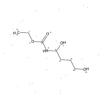 CCOC(=O)NC(O)CCCO